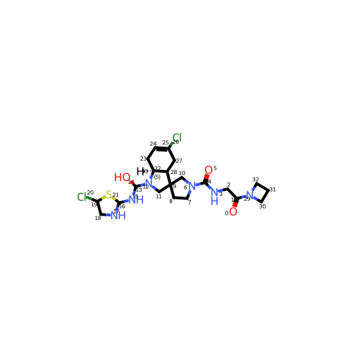 O=C(CNC(=O)N1CCC2(C1)CN(C(O)NC1NCC(Cl)S1)[C@H]1CC=C(Cl)CC12)N1CCC1